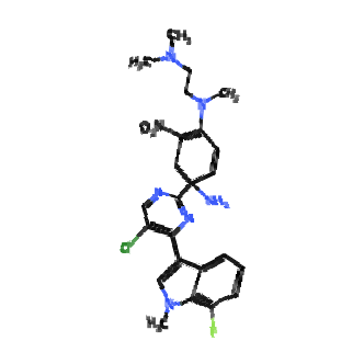 CN(C)CCN(C)C1=C([N+](=O)[O-])CC(N)(c2ncc(Cl)c(-c3cn(C)c4c(F)cccc34)n2)C=C1